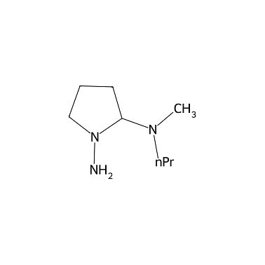 CCCN(C)C1CCCN1N